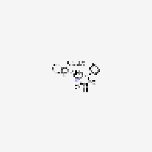 CCOC(=O)c1c(N/C=C2/C(=O)NC(=O)N(c3cccc(C)c3)C2=O)sc2c1CCCC2